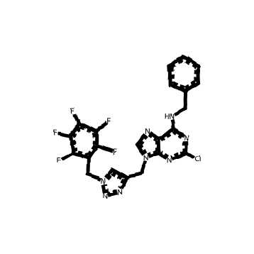 Fc1c(F)c(F)c(Cn2cc(Cn3cnc4c(NCc5ccccc5)nc(Cl)nc43)nn2)c(F)c1F